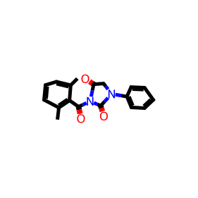 Cc1cccc(C)c1C(=O)N1C(=O)CN(c2ccccc2)C1=O